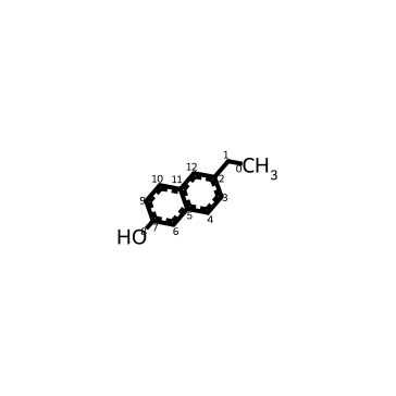 CCc1ccc2cc(O)ccc2c1